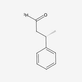 [2H]C(=O)C[C@H](C)c1ccccc1